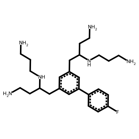 NCCCNC(CCN)Cc1cc(CC(CCN)NCCCN)cc(-c2ccc(F)cc2)c1